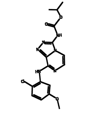 COc1ccc(Cl)c(Nc2nccn3c(NC(=O)OC(C)C)nnc23)c1